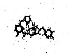 Cc1ccc(CN2CCCC2=O)cc1C(=O)N1CC2C[C@@H](CN(Cc3ccc(Cl)cc3)C2)C1